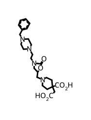 O=C(O)CC1(C(=O)O)CCN(CC2CN(CCN3CCN(Cc4ccccc4)CC3)C(=O)O2)CC1